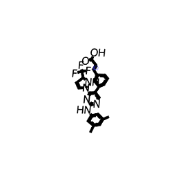 Cc1cc(C)cc(Nc2ncc(-c3cccc(/C=C/C(=O)O)c3)c(N3C=CC(C(F)(F)F)N3)n2)c1